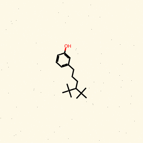 CC(C)(C)C(CCCc1cccc(O)c1)C(C)(C)C